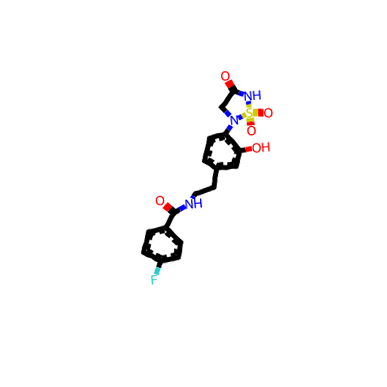 O=C1CN(c2ccc(CCNC(=O)c3ccc(F)cc3)cc2O)S(=O)(=O)N1